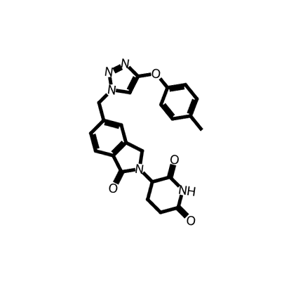 Cc1ccc(Oc2cn(Cc3ccc4c(c3)CN(C3CCC(=O)NC3=O)C4=O)nn2)cc1